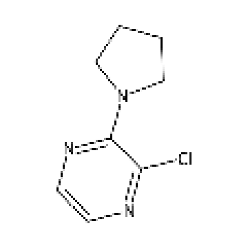 Clc1nccnc1N1CCCC1